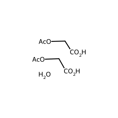 CC(=O)OCC(=O)O.CC(=O)OCC(=O)O.O